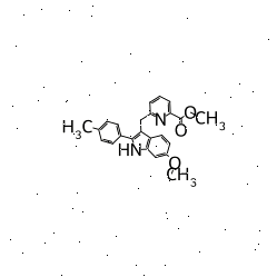 COC(=O)c1cccc(Cc2c(-c3ccc(C)cc3)[nH]c3cc(OC)ccc23)n1